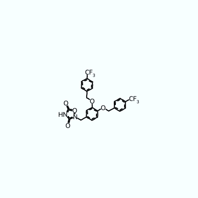 O=c1[nH]c(=O)n(Cc2ccc(OCc3ccc(C(F)(F)F)cc3)c(OCc3ccc(C(F)(F)F)cc3)c2)o1